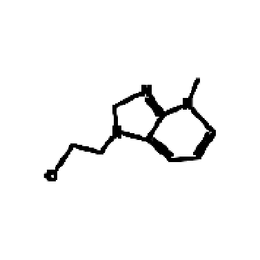 CN1C=CC=C2C1=NCN2CC[O]